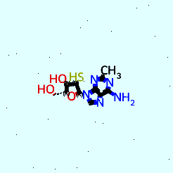 Cc1nc(N)c2ncn([C@@H]3O[C@H](CO)[C@@H](O)[C@H]3S)c2n1